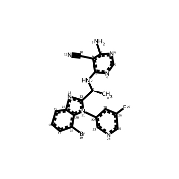 C[C@H](Nc1ncnc(N)c1C#N)c1nc2cccc(Br)c2n1-c1cncc(F)c1